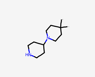 [CH2]C1([CH2])CCN(C2CCNCC2)CC1